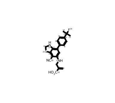 C=C(CNc1cc(-c2ccc(C(C)(C)F)cc2)c2c(c1C#N)SCN2)C(=O)O